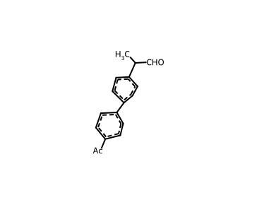 CC(=O)c1ccc(-c2ccc(C(C)C=O)cc2)cc1